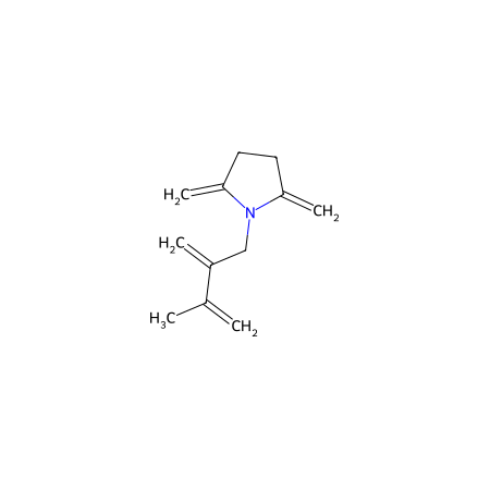 C=C(C)C(=C)CN1C(=C)CCC1=C